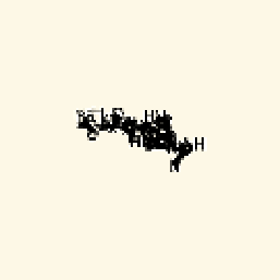 N#CC1C2CNCC12CCCCC(C(c1ccc(-c2ccc(N3C[C@H](CNC(=O)C4CC4(F)F)OC3=O)cc2F)cn1)C12CNCC1C2C#N)C12CNCC1C2C#N